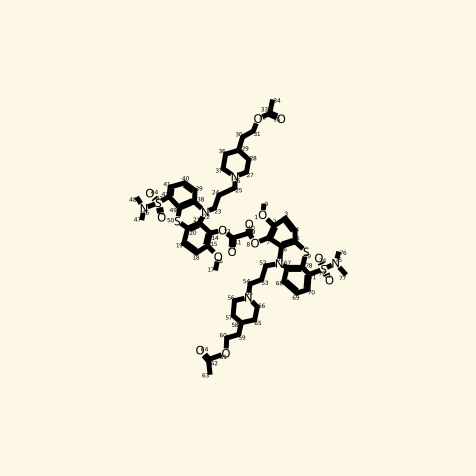 COc1ccc2c(c1OC(=O)C(=O)Oc1c(OC)ccc3c1N(CCCN1CCC(CCOC(C)=O)CC1)c1cccc(S(=O)(=O)N(C)C)c1S3)N(CCCN1CCC(CCOC(C)=O)CC1)c1cccc(S(=O)(=O)N(C)C)c1S2